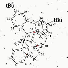 [CH2]=[Zr]([c]1ccccc1)([c]1cccc(Cl)c1)([CH]1C=CC=C1)[CH]1c2ccc(C(C)(C)C)cc2-c2cc(C(C)(C)C)ccc21